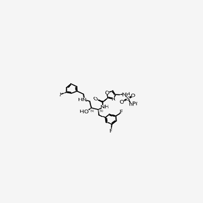 CCCS(=O)(=O)Nc1coc(C(=O)N[C@@H](Cc2cc(F)cc(F)c2)[C@@H](O)CNCc2cccc(I)c2)n1